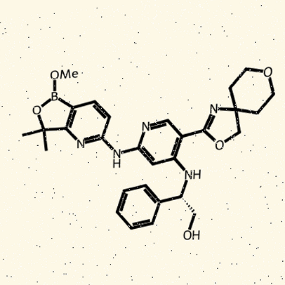 COB1OC(C)(C)c2nc(Nc3cc(N[C@H](CO)c4ccccc4)c(C4=NC5(CCOCC5)CO4)cn3)ccc21